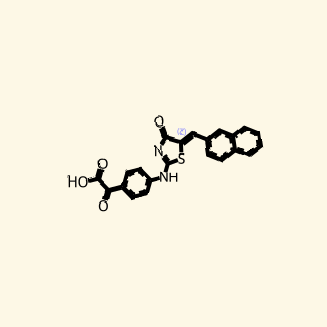 O=C(O)C(=O)c1ccc(NC2=NC(=O)/C(=C/c3ccc4ccccc4c3)S2)cc1